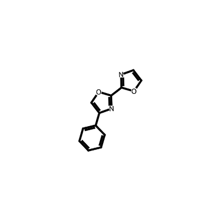 c1ccc(-c2coc(-c3ncco3)n2)cc1